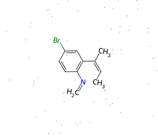 C=Nc1ccc(Br)cc1/C(C)=C\C